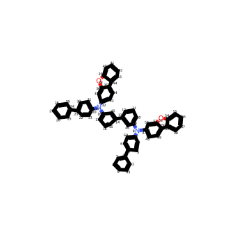 c1ccc(-c2ccc(N(c3cccc(-c4cccc(N(c5ccc(-c6ccccc6)cc5)c5ccc6c(c5)oc5ccccc56)c4)c3)c3ccc4c(c3)oc3ccccc34)cc2)cc1